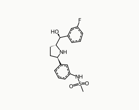 CS(=O)(=O)Nc1cccc([C@H]2CC[C@H]([C@@H](O)c3cccc(F)c3)N2)c1